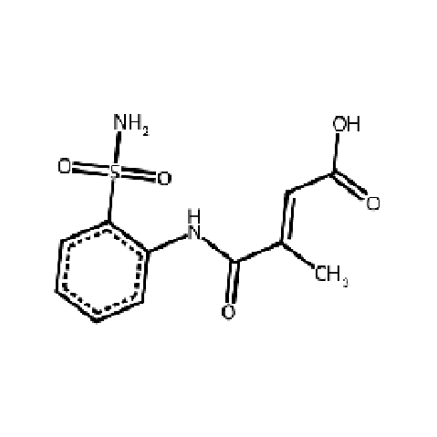 CC(=CC(=O)O)C(=O)Nc1ccccc1S(N)(=O)=O